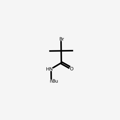 CCCCNC(=O)C(C)(C)Br